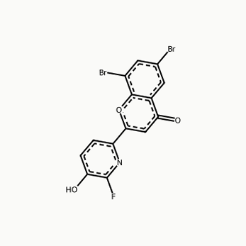 O=c1cc(-c2ccc(O)c(F)n2)oc2c(Br)cc(Br)cc12